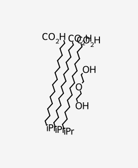 CC(C)CCCCCCCCCCCCCCC(=O)O.CC(C)CCCCCCCCCCCCCCC(=O)O.CC(C)CCCCCCCCCCCCCCC(=O)O.OCCOCCO